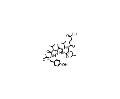 CC(=O)[C@H](Cc1ccc(O)cc1)NC(=O)C(NC(=O)[C@H](CC(C)C)NC(=O)[C@H](CC(C)C)NC(=O)CCC(=O)O)C(C)C